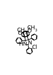 COc1cccc(C2(c3ccccc3)N=C(c3ccccc3Cl)NC2(c2ccccc2)c2cccc(OC)c2)c1